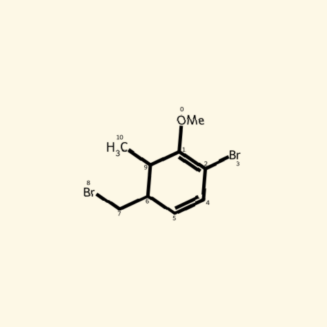 COC1=C(Br)C=CC(CBr)C1C